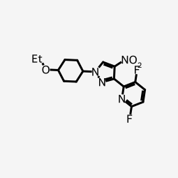 CCOC1CCC(n2cc([N+](=O)[O-])c(-c3nc(F)ccc3F)n2)CC1